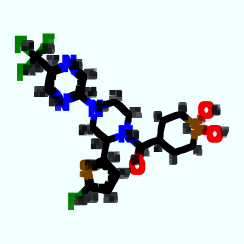 O=C(C1CCS(=O)(=O)CC1)N1CCN(c2cnc(C(F)(F)F)cn2)CC1c1ccc(F)s1